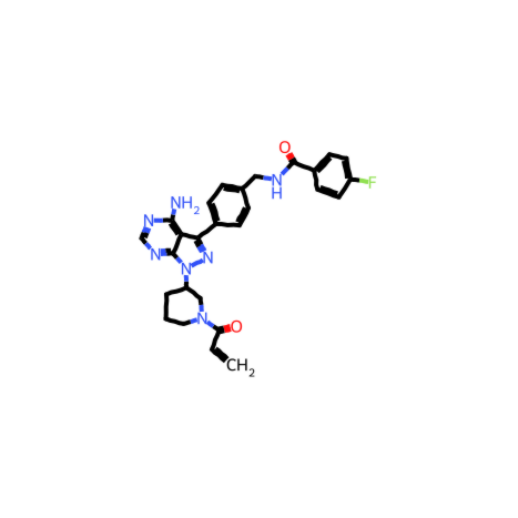 C=CC(=O)N1CCCC(n2nc(-c3ccc(CNC(=O)c4ccc(F)cc4)cc3)c3c(N)ncnc32)C1